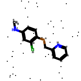 CNc1ccc(SCc2ccccn2)c(Cl)c1